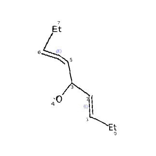 CC/C=C/C([O])/C=C/CC